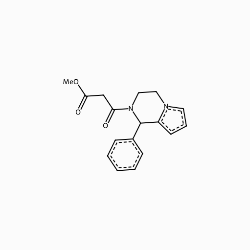 COC(=O)CC(=O)N1CCn2cccc2C1c1ccccc1